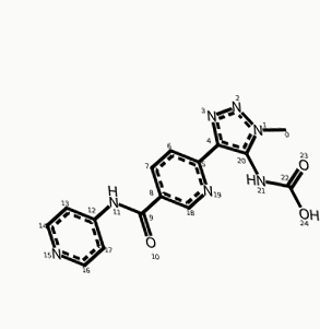 Cn1nnc(-c2ccc(C(=O)Nc3ccncc3)cn2)c1NC(=O)O